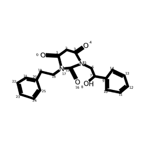 O=C1CC(=O)N(CC(O)c2ccccc2)C(=O)N1CCc1ccccc1